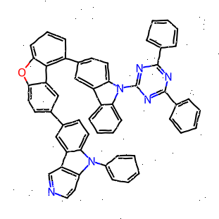 c1ccc(-c2nc(-c3ccccc3)nc(-n3c4ccccc4c4cc(-c5cccc6oc7ccc(-c8ccc9c(c8)c8cnccc8n9-c8ccccc8)cc7c56)ccc43)n2)cc1